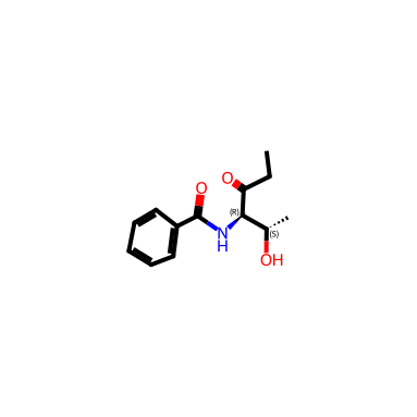 CCC(=O)[C@H](NC(=O)c1ccccc1)[C@H](C)O